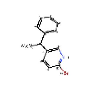 CNC(c1ccccc1)c1ccc(Br)nc1